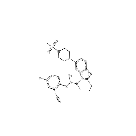 CCc1nc2ccc(C3CCN(S(C)(=O)=O)CC3)cn2c1N(C)N(S)Sc1ccc(F)cc1C#N